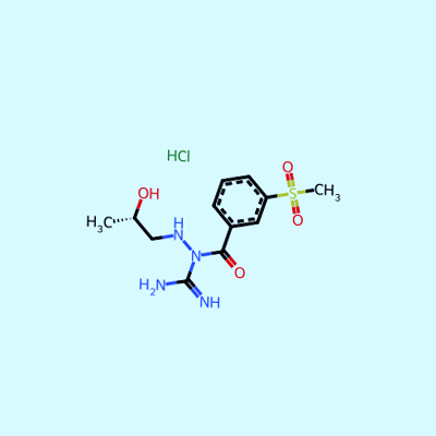 C[C@H](O)CNN(C(=N)N)C(=O)c1cccc(S(C)(=O)=O)c1.Cl